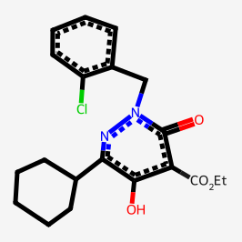 CCOC(=O)c1c(O)c(C2CCCCC2)nn(Cc2ccccc2Cl)c1=O